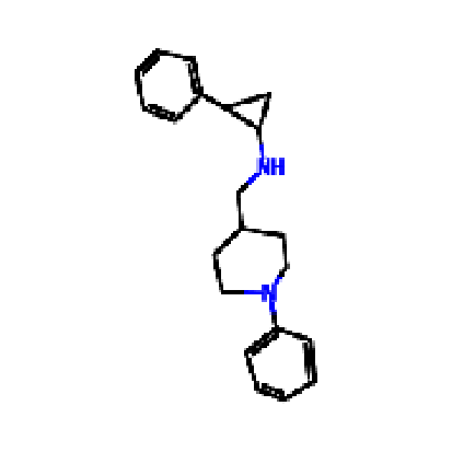 c1ccc(C2CC2NCC2CCN(c3ccccc3)CC2)cc1